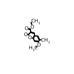 CCOC(=O)c1cc2cc(C)c(OC)cc2oc1=O